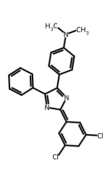 CN(C)c1ccc(C2=NC(=C3C=C(Cl)CC(Cl)=C3)N=C2c2ccccc2)cc1